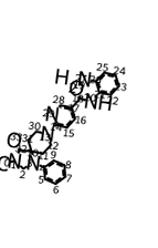 CN1CN(c2ccccc2)C2(CCN(c3ccc(C(=O)Nc4ccccc4N)cn3)CC2)C1=O